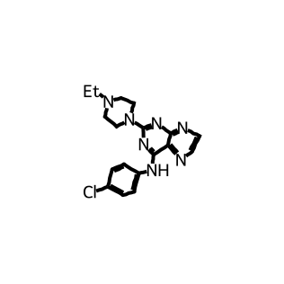 CCN1CCN(c2nc(Nc3ccc(Cl)cc3)c3nccnc3n2)CC1